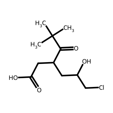 CC(C)(C)C(=O)C(CC(=O)O)CC(O)CCl